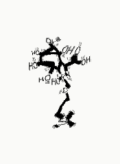 C[Si](C)(C)CCOC[N+]1(O)N=C(C(=O)O)C2=C1C(O)=C(O)C1(O)C(O)C21O